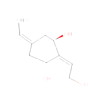 O=CC=C1C[C@@H](O)C(=CCO)[C@H](O)C1